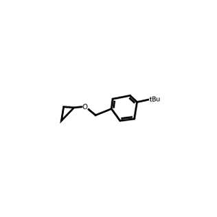 CC(C)(C)c1ccc(COC2CC2)cc1